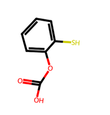 O=C(O)Oc1ccccc1S